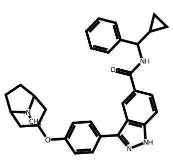 CN1C2CCC1CC(Oc1ccc(-c3n[nH]c4ccc(C(=O)NC(c5ccccc5)C5CC5)cc34)cc1)C2